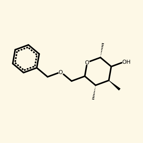 C[C@@H]1C(COCc2ccccc2)O[C@H](C)C(O)[C@H]1C